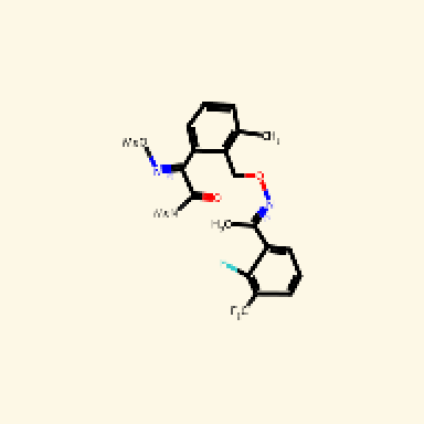 CNC(=O)/C(=N/OC)c1cccc(C)c1CO/N=C(\C)c1cccc(C(F)(F)F)c1F